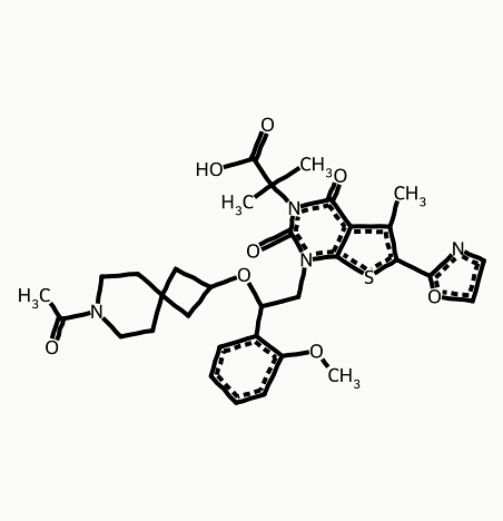 COc1ccccc1C(Cn1c(=O)n(C(C)(C)C(=O)O)c(=O)c2c(C)c(-c3ncco3)sc21)OC1CC2(CCN(C(C)=O)CC2)C1